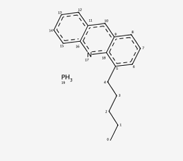 CCCCCc1cccc2cc3ccccc3nc12.P